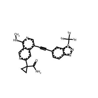 [2H]C([2H])([2H])n1nnc2ccc(C#Cc3cnc(NC)c4cnc(C5(C(N)=O)CC5)cc34)cc21